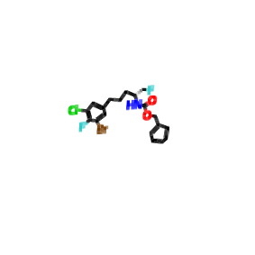 O=C(N[C@@H](CF)CCCc1cc(Cl)c(F)c(Br)c1)OCc1ccccc1